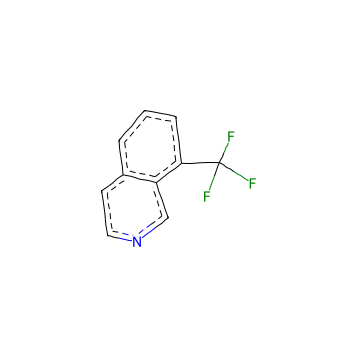 FC(F)(F)c1cccc2ccncc12